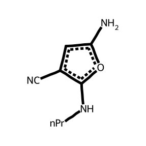 CCCNc1oc(N)cc1C#N